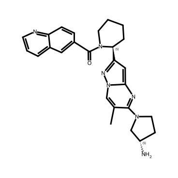 Cc1cn2nc([C@@H]3CCCCN3C(=O)c3ccc4ncccc4c3)cc2nc1N1CC[C@H](N)C1